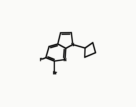 Fc1cc2ccn(C3CCC3)c2nc1Br